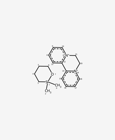 C[Si]1(C)CCCCO1.c1cc[n+]2c(c1)-c1cccc[n+]1CC2